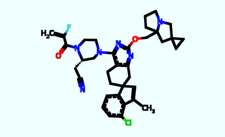 C=C(F)C(=O)N1CCN(c2nc(OCC34CCCN3CC3(CC3)C4)nc3c2CCC2(C=C(C)c4c(Cl)cccc42)C3)C[C@@H]1CC#N